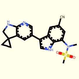 CN(c1cc(C#N)cc2c(-c3cnc4c(c3)C3(CC3)CN4)c[nH]c12)S(C)(=O)=O